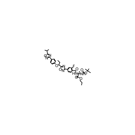 CCCOC(=O)C(C)(NC(=O)OC(C)(C)C)NC(=O)c1ccc(-c2noc(C(CC)Oc3ccc(-c4noc(C(C)C)n4)cc3)n2)cc1F